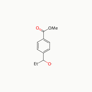 CCC([O])c1ccc(C(=O)OC)cc1